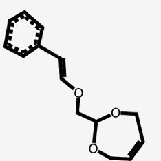 C1=CCOC(CO/C=C/c2ccccc2)OC1